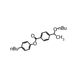 CCCCOC(C)c1ccc(C(=O)Oc2ccc(CCCC)cc2)cc1